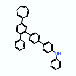 C1=CCC=C(c2ccc(-c3ccccc3)c(-c3ccc(-c4ccc(Nc5ccccc5)cc4)cc3)c2)C=C1